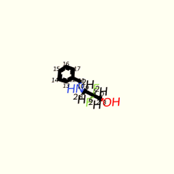 [2H]C([2H])(O)C(F)(F)C([2H])([2H])NCc1ccccc1